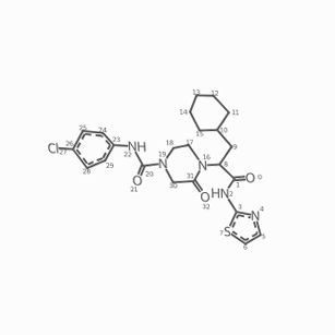 O=C(Nc1nccs1)C(CC1CCCCC1)N1CCN(C(=O)Nc2ccc(Cl)cc2)CC1=O